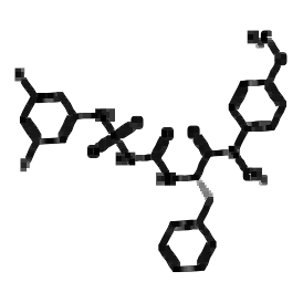 COc1ccc(N(C)C(=O)[C@H](Cc2ccccc2)NC(=O)NS(=O)(=O)Nc2cc(F)cc(F)c2)cc1